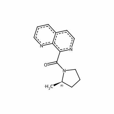 [CH2][C@@H]1CCCN1C(=O)c1nccc2cccnc12